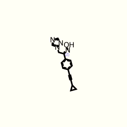 O/N=C(\Cn1cncn1)c1ccc(C#CC2CC2)cc1